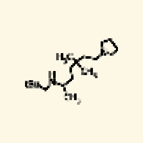 CC(CCC(C)(C)CCN1CCCC1)NCC(C)(C)C